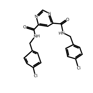 O=C(NCc1ccc(Cl)cc1)c1cc(C(=O)NCc2ccc(Cl)cc2)ncn1